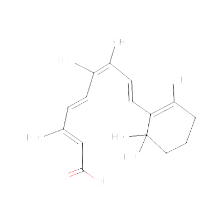 CC(C=CC(C)=C(C)C=CC1=C(C)CCCC1(C)C)=CC(=O)O